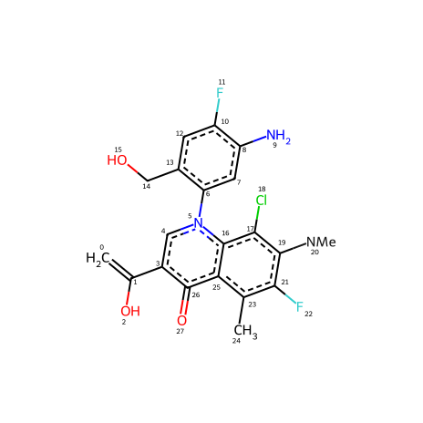 C=C(O)c1cn(-c2cc(N)c(F)cc2CO)c2c(Cl)c(NC)c(F)c(C)c2c1=O